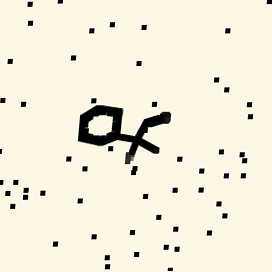 CC(F)(C=O)c1ccccc1